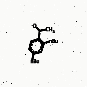 CCCCc1ccc(C(C)[O])c(CCCC)c1